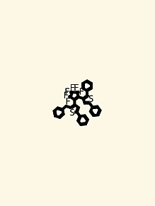 FC1(F)C(c2cc(-c3ccccc3)sc2Cc2ccccc2)=C(c2cc(-c3ccccc3)sc2-c2ccccc2)C(F)(F)C1(F)F